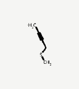 [CH2]C#CCSC